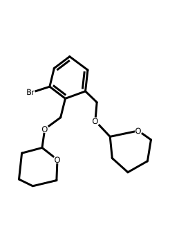 Brc1cccc(COC2CCCCO2)c1COC1CCCCO1